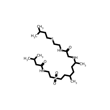 CC(C)CCSCCNC(=O)CNC(C)CCC(C)CCS(=O)(=O)CCNC(=O)CC(C)C